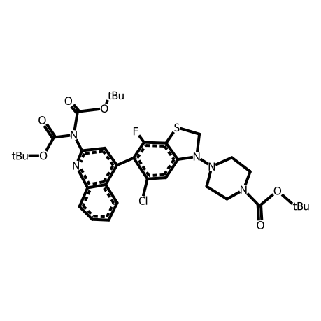 CC(C)(C)OC(=O)N1CCN(N2CSc3c2cc(Cl)c(-c2cc(N(C(=O)OC(C)(C)C)C(=O)OC(C)(C)C)nc4ccccc24)c3F)CC1